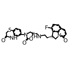 O=C1CSc2ccc(N3C[C@@H](CNCC[C@@H]4Cn5c(=O)ccc6ccc(F)c4c65)OC3=O)cc2N1